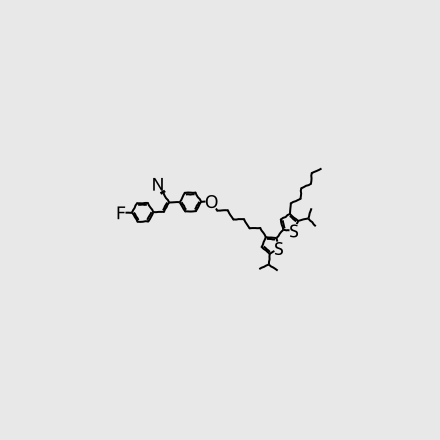 CCCCCCc1cc(-c2sc(C(C)C)cc2CCCCCCOc2ccc(/C(C#N)=C/c3ccc(F)cc3)cc2)sc1C(C)C